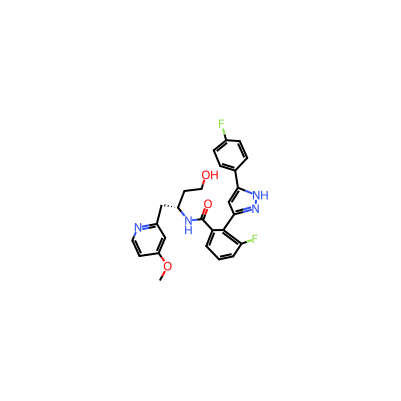 COc1ccnc(C[C@H](CCO)NC(=O)c2cccc(F)c2-c2cc(-c3ccc(F)cc3)[nH]n2)c1